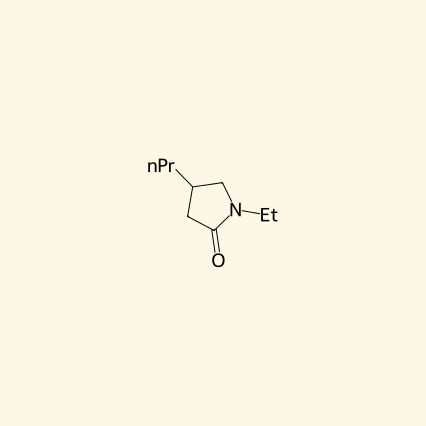 CCCC1CC(=O)N(CC)C1